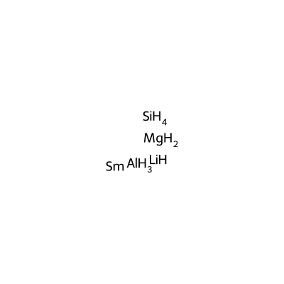 [AlH3].[LiH].[MgH2].[SiH4].[Sm]